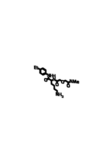 CCc1ccc(NC(=O)C(CCCCN)NC(=O)COCC(=O)NC)cc1